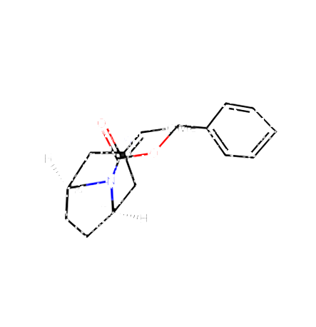 CO/C=C1\C[C@H]2CC[C@@H](C1)N2C(=O)OCc1ccccc1